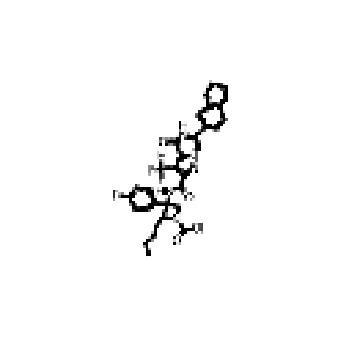 CCCCC1N(C(=O)O)CC1(NC(=O)c1nn2cc(-c3ccc4ccccc4c3)[nH]c(=O)c2c1C(F)(F)F)c1ccc(F)cc1